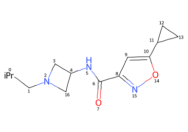 CC(C)CN1CC(NC(=O)c2cc(C3CC3)on2)C1